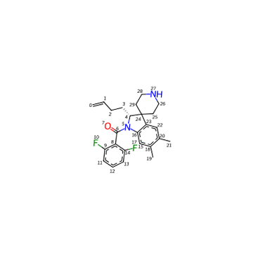 C=CCC[C@H]1N(C(=O)c2c(F)cccc2F)c2cc(C)c(C)cc2C12CCNCC2